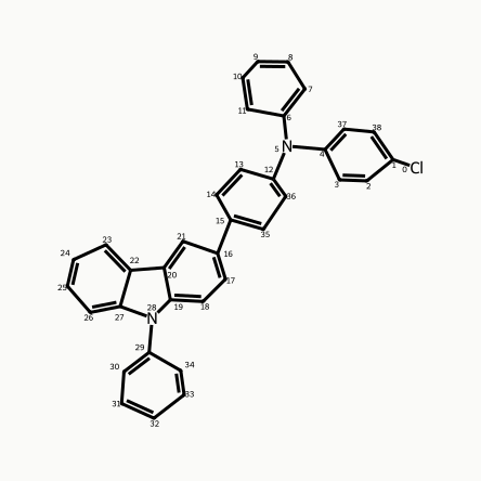 Clc1ccc(N(c2ccccc2)c2ccc(-c3ccc4c(c3)c3ccccc3n4-c3ccccc3)cc2)cc1